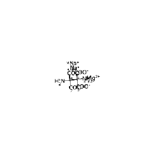 NC(C(=O)[O-])(C(=O)[O-])C(N)(C(=O)[O-])C(=O)[O-].[Mg+2].[Na+].[Na+]